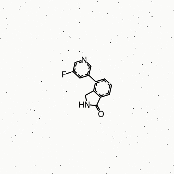 O=C1NCc2c1cccc2-c1cncc(F)c1